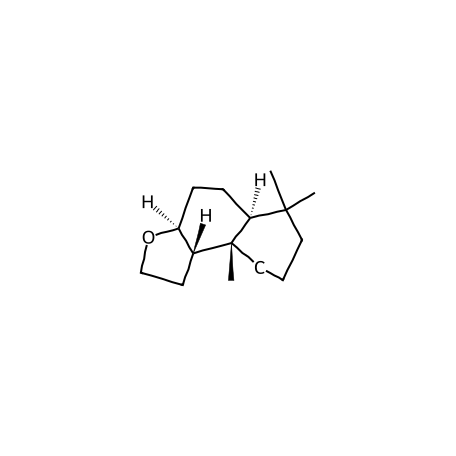 CC1(C)CCC[C@]2(C)[C@@H]3CCO[C@H]3CC[C@@H]12